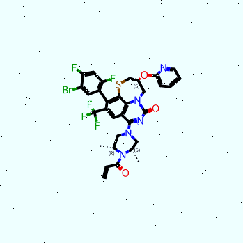 C=CC(=O)N1[C@H](C)CN(c2nc(=O)n3c4c(c(-c5cc(Br)c(F)cc5F)c(C(F)(F)F)cc24)SC[C@@H](Oc2ccccn2)C3)C[C@@H]1C